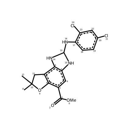 COC(=O)c1cc2c(c3c1OC(C)(C)C3)NC(Nc1ccc(Cl)cc1Cl)N2